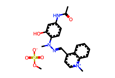 CC(=O)Nc1ccc(N(C)N=Cc2cc[n+](C)c3ccccc23)c(O)c1.COS(=O)(=O)[O-]